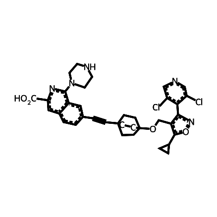 O=C(O)c1cc2ccc(C#CC34CCC(OCc5c(-c6c(Cl)cncc6Cl)noc5C5CC5)(CC3)CC4)cc2c(N2CCNCC2)n1